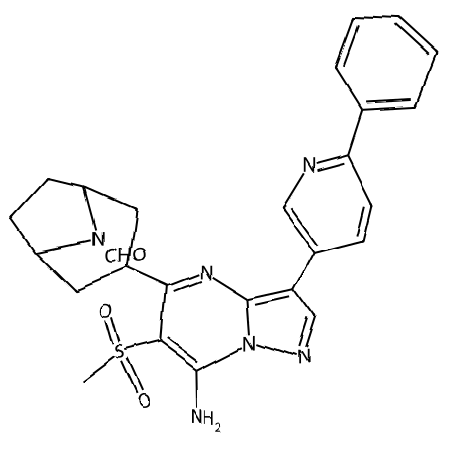 CS(=O)(=O)c1c(C2CC3CCC(C2)N3C=O)nc2c(-c3ccc(-c4ccccc4)nc3)cnn2c1N